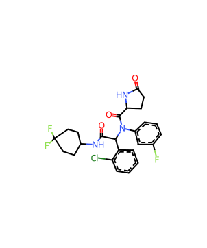 O=C1CCC(C(=O)N(c2cccc(F)c2)C(C(=O)NC2CCC(F)(F)CC2)c2ccccc2Cl)N1